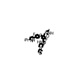 CC(C)c1ccc(-c2ccc(Oc3cc(C(=O)N[C@H]4CCN(C5CCOCC5)C[C@H]4F)c(F)cc3CN3C[C@@H](C)NC3=O)cc2F)nn1